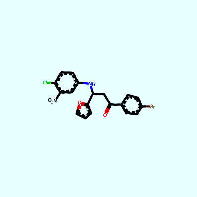 O=C(CC(Nc1ccc(Cl)c([N+](=O)[O-])c1)c1ccco1)c1ccc(Br)cc1